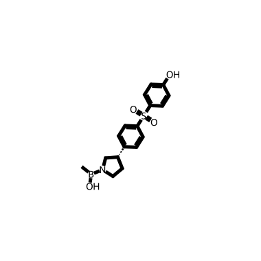 CB(O)N1CC[C@@H](c2ccc(S(=O)(=O)c3ccc(O)cc3)cc2)C1